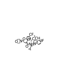 CC1(C)CN(C[C@@H](NC(=O)[C@@H](CC(=O)N2CCOCC2)c2ccc(C(F)(F)F)cc2)C2CC2)c2ccc(F)cc21